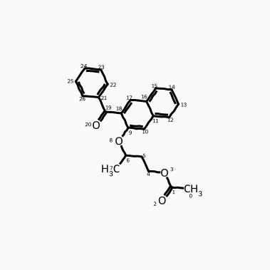 CC(=O)OCCC(C)Oc1cc2ccccc2cc1C(=O)c1ccccc1